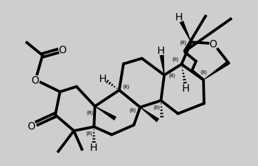 CC(=O)OC1C[C@]2(C)[C@H]3CC[C@@H]4[C@H]5[C@H]6OC[C@@]5(CCC6(C)C)CC[C@@]4(C)[C@]3(C)CC[C@H]2C(C)(C)C1=O